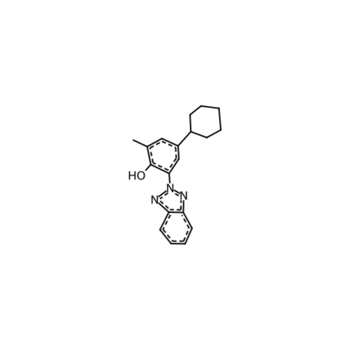 Cc1cc(C2CCCCC2)cc(-n2nc3ccccc3n2)c1O